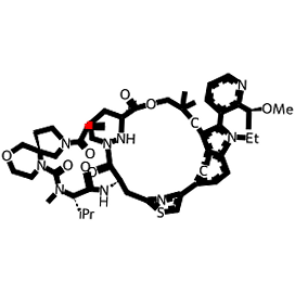 C=CC(=O)N1CC[C@@]2(COCCN2C(=O)N(C)[C@H](C(=O)N[C@H]2Cc3nc(cs3)-c3ccc4c(c3)c(c(-c3cccnc3[C@H](C)OC)n4CC)CC(C)(C)COC(=O)[C@@H]3CCCN(N3)C2=O)C(C)C)C1